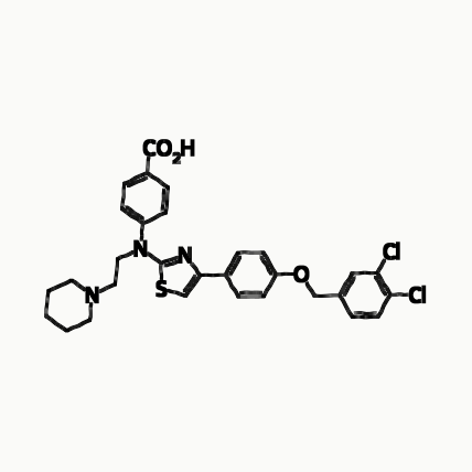 O=C(O)c1ccc(N(CCN2CCCCC2)c2nc(-c3ccc(OCc4ccc(Cl)c(Cl)c4)cc3)cs2)cc1